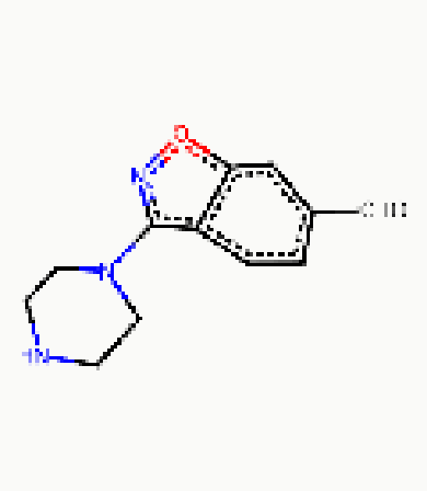 O=Cc1ccc2c(N3CCNCC3)noc2c1